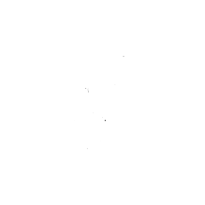 c1ccc(NC2CCCC2)nc1